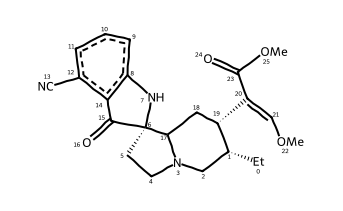 CC[C@@H]1CN2CC[C@]3(Nc4cccc(C#N)c4C3=O)C2C[C@@H]1/C(=C\OC)C(=O)OC